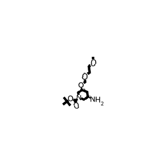 COCCOCO[C@H]1C[C@@H](N)CN(C(=O)OC(C)(C)C)C1